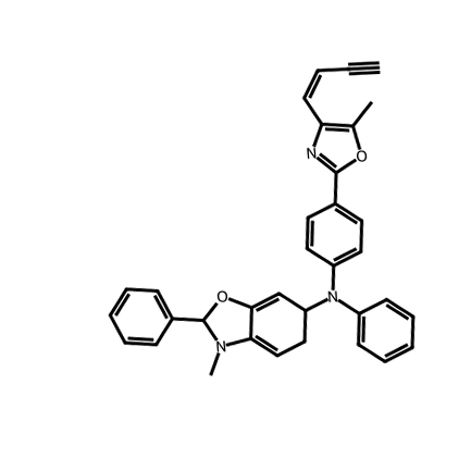 C#C/C=C\c1nc(-c2ccc(N(c3ccccc3)C3C=C4OC(c5ccccc5)N(C)C4=CC3)cc2)oc1C